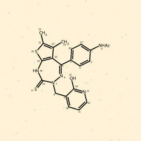 CC(=O)Nc1ccc(C2=NN(Cc3cccnc3O)C(=S)Nc3sc(C)c(C)c32)cc1